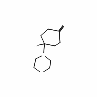 CCCCC1(N2CCOCC2)CCC(=O)CC1